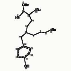 CC(=O)OC(S)C(CCC(CCCC(C)(C)C)Cc1ccc(O)cc1)C(C)(C)C